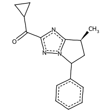 C[C@H]1CC(c2ccccc2)n2nc(C(=O)C3CC3)nc21